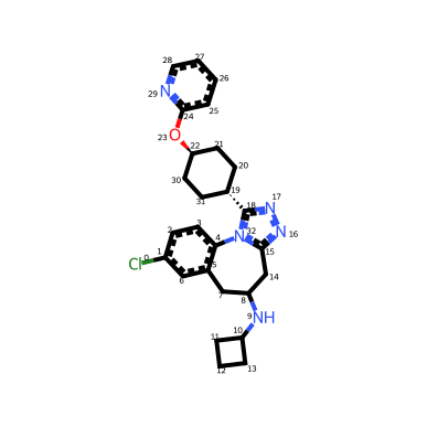 Clc1ccc2c(c1)CC(NC1CCC1)Cc1nnc([C@H]3CC[C@H](Oc4ccccn4)CC3)n1-2